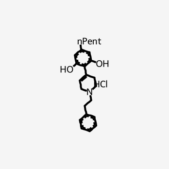 CCCCCc1cc(O)c(C2=CCN(CCc3ccccc3)CC2)c(O)c1.Cl